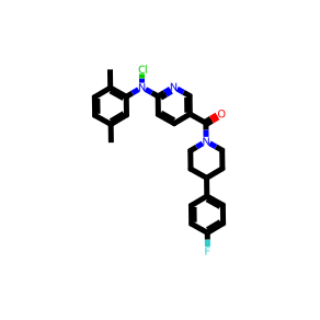 Cc1ccc(C)c(N(Cl)c2ccc(C(=O)N3CCC(c4ccc(F)cc4)CC3)cn2)c1